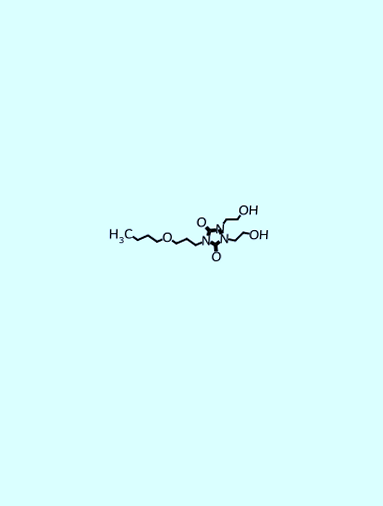 CCCCOCCCn1c(=O)n(CCO)n(CCO)c1=O